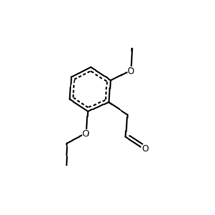 CCOc1cccc(OC)c1CC=O